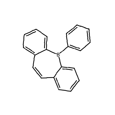 C1=Cc2ccccc2B(c2ccccc2)c2ccccc21